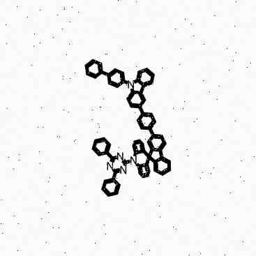 c1ccc(-c2ccc(-n3c4ccccc4c4cc(-c5ccc(-c6ccc7c(c6)C6(c8ccccc8-7)c7ccccc7N(c7nc(-c8ccccc8)nc(-c8ccccc8)n7)c7ccccc76)cc5)ccc43)cc2)cc1